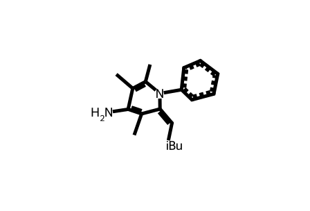 CCC(C)/C=C1\C(C)=C(N)C(C)=C(C)N1c1ccccc1